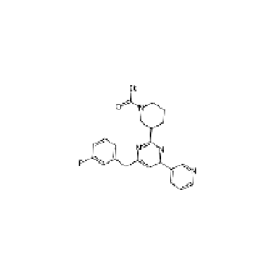 CCC(=O)N1CCCC(c2nc(Cc3cccc(F)c3)cc(-c3cccnc3)n2)C1